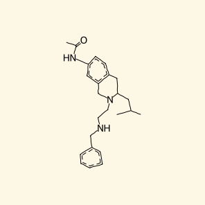 CC(=O)Nc1ccc2c(c1)CN(CCNCc1ccccc1)C(CC(C)C)C2